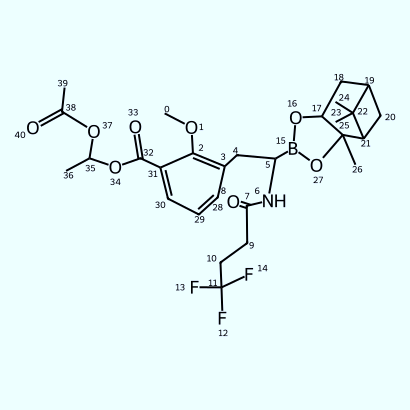 COc1c(CC(NC(=O)CCC(F)(F)F)B2OC3CC4CC(C4(C)C)C3(C)O2)cccc1C(=O)OC(C)OC(C)=O